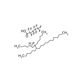 CCCCCCCCCCCCC(CCCCCC)C(P)(CCCCCC)CCCCCC.O=C(O)C(F)(F)C(F)(F)C(F)(F)C(F)(F)F